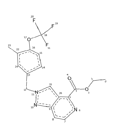 CCOC(=O)c1nccc2nn(Cc3ccc(OC(F)(F)F)c(C)c3)cc12